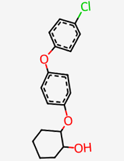 OC1CCCCC1Oc1ccc(Oc2ccc(Cl)cc2)cc1